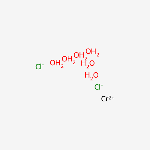 O.O.O.O.O.O.[Cl-].[Cl-].[Cr+2]